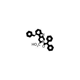 O=C(O)C1CC2=C3C(=CC=C[C@@H]3Cc3ccccc3)N=C2CN1C(=O)C(c1ccccc1)c1ccccc1